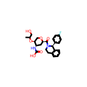 CC(CO)O[C@H]1CO[C@@H](C(=O)N2CCc3ccccc3[C@@H]2c2ccc(F)cc2)C[C@@H]1NC(=O)O